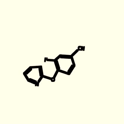 N#Cc1ccc(Oc2ccccn2)c(F)c1